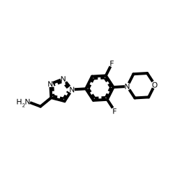 NCc1cn(-c2cc(F)c(N3CCOCC3)c(F)c2)nn1